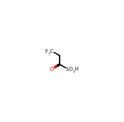 O=C(CC(F)(F)F)S(=O)(=O)O